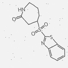 O=C1CC(S(=O)(=O)c2nc3ccccc3s2)CCCN1